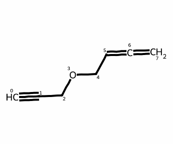 C#CCOCC=C=C